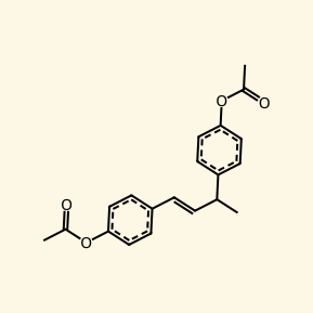 CC(=O)Oc1ccc(/C=C/C(C)c2ccc(OC(C)=O)cc2)cc1